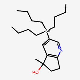 CCC[CH2][Sn]([CH2]CCC)([CH2]CCC)[c]1cnc2c(c1)C(C)(O)CC2